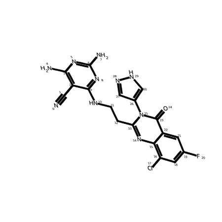 N#Cc1c(N)nc(N)nc1NCCc1nc2c(Cl)cc(F)cc2c(=O)n1-c1cn[nH]c1